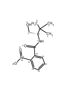 CC(C)(C)[C@@H](CO)NC(=O)c1ccccc1[N+](=O)[O-]